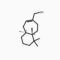 CC1(C)CCC[C@@]2(C)CC=C(CO)CC[C@]12C